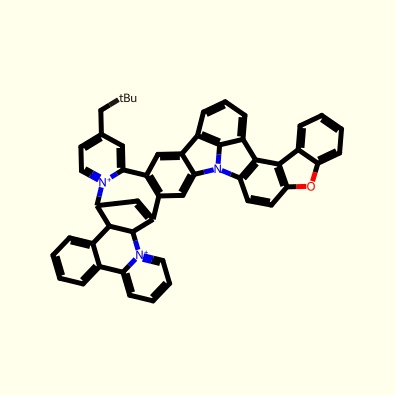 CC(C)(C)Cc1cc[n+]2c(c1)-c1cc3c4cccc5c6c7c(ccc6n(c3cc1C1=CC2C2c3ccccc3-c3cccc[n+]3C12)c45)oc1ccccc17